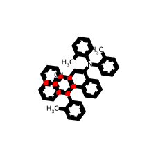 Cc1ccccc1N(C(=Cc1ccccc1)c1ccccc1C(=Cc1ccccc1)N(c1ccccc1C)c1ccccc1C)c1ccccc1C